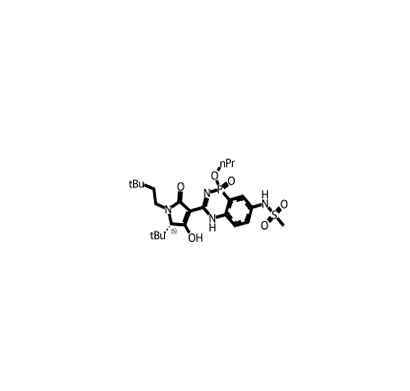 CCCOP1(=O)N=C(C2=C(O)[C@H](C(C)(C)C)N(CCC(C)(C)C)C2=O)Nc2ccc(NS(C)(=O)=O)cc21